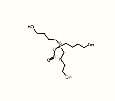 O=[PH2]O[PH](CCCCO)(CCCCO)CCCCO